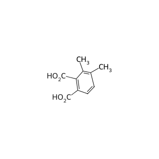 Cc1ccc(C(=O)O)c(C(=O)O)c1C